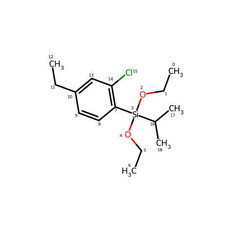 CCO[Si](OCC)(c1ccc(CC)cc1Cl)C(C)C